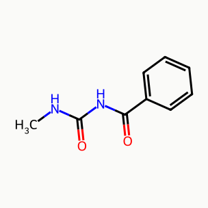 CNC(=O)NC(=O)c1ccccc1